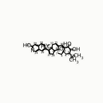 CN(C)[C@H]1C[C@@]23CC[C@@]4(O2)C(=CC[C@]2(C)C(c5ccc6cc(O)ncc6c5)=CCC24)C=C3[C@@H](O)[C@@H]1O